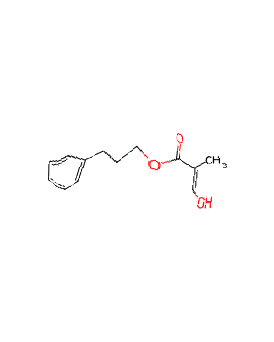 CC(=CO)C(=O)OCCCc1ccccc1